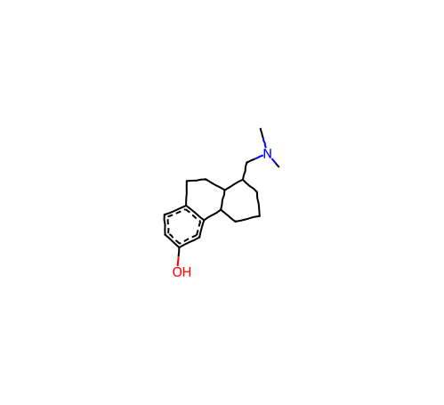 CN(C)CC1CCCC2c3cc(O)ccc3CCC12